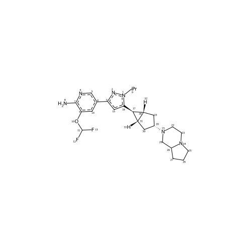 CC(C)n1nc(-c2cnc(N)c(OC(F)F)c2)cc1[C@H]1[C@@H]2C[C@H](N3CCN4CCCC4C3)C[C@@H]21